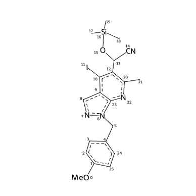 COc1ccc(Cn2ncc3c(I)c(C(C#N)O[Si](C)(C)C)c(C)nc32)cc1